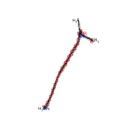 CCCCCCCCCCCC(CCCCCCCCCCC(C)=O)(C(=O)O)C(=O)NCCOCCOCCOCCOCCOCCOCCOCCOCCOCCOCCOCCOCCOCCOCCOCCOCCOCCOCCOCCOCCOCCOCCOCCOCCC(=O)NC